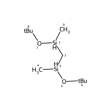 C[SiH](C[SiH](C)OC(C)(C)C)OC(C)(C)C